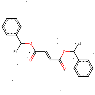 CCC(OC(=O)C=CC(=O)OC(CC)c1ccccc1)c1ccccc1